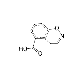 O=C(O)c1cccc2c1CC=NO2